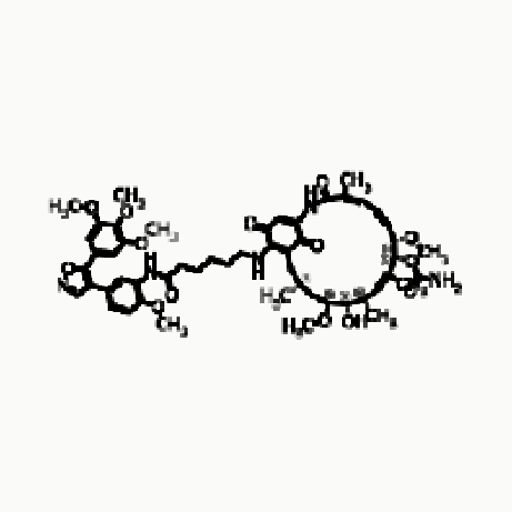 COc1ccc(-c2cnoc2-c2cc(OC)c(OC)c(OC)c2)cc1NC(=O)CCCCCNC1=C2C[C@@H](C)C[C@H](OC)[C@@H](O)[C@@H](C)C=C(C)[C@H](OC(N)=O)[C@@H](OC)C=CC=C(C)C(=O)NC(=CC1=O)C2=O